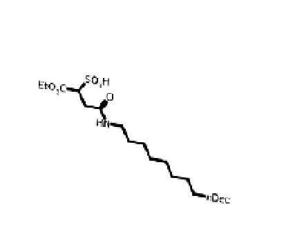 CCCCCCCCCCCCCCCCCCNC(=O)CC(C(=O)OCC)S(=O)(=O)O